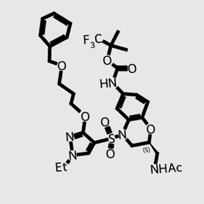 CCn1cc(S(=O)(=O)N2C[C@H](CNC(C)=O)Oc3ccc(NC(=O)OC(C)(C)C(F)(F)F)cc32)c(OCCCOCc2ccccc2)n1